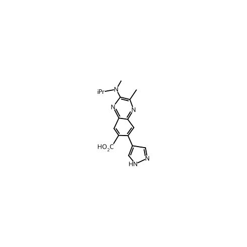 Cc1nc2cc(-c3cn[nH]c3)c(C(=O)O)cc2nc1N(C)C(C)C